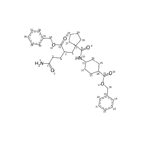 NC(=O)CCC(CC1(C(=O)NC2CCC(C(=O)OCc3ccccc3)CC2)CCCC1)C(=O)OCc1ccccc1